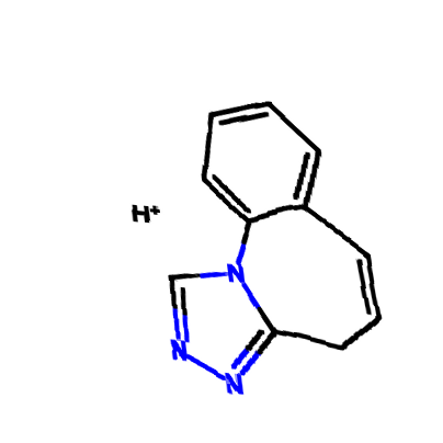 C1=Cc2ccccc2-n2cnnc2C1.[H+]